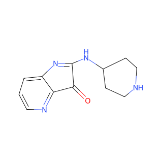 O=C1C(NC2CCNCC2)=Nc2cccnc21